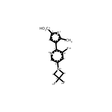 Cc1sc(C(=O)O)cc1-c1ncc(N2CC(F)(F)C2)cc1F